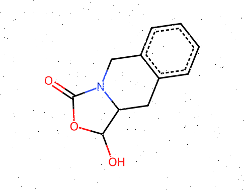 O=C1OC(O)C2Cc3ccccc3CN12